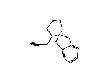 N#CCC1CCCC[C@@]12Cc1ccccc1O2